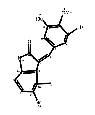 COc1c(Cl)cc(C=C2C(=O)Nc3ccc(Br)c(C)c32)cc1C(C)(C)C